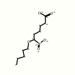 CCCCCOC(CCCCC(=O)Cl)[N+](=O)[O-]